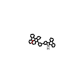 c1ccc(-c2ccccc2-c2c3ccccc3c(-c3cccc(-c4ccc5c(c4)[nH]c4c6ccccc6c6ccccc6c54)c3)c3ccccc23)cc1